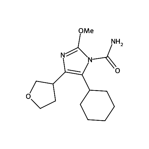 COc1nc(C2CCOC2)c(C2CCCCC2)n1C(N)=O